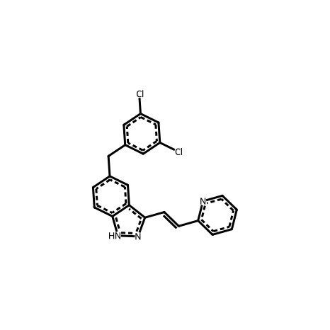 Clc1cc(Cl)cc(Cc2ccc3[nH]nc(C=Cc4ccccn4)c3c2)c1